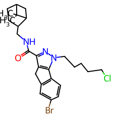 CC1(C)C2CCC(CNC(=O)c3nn(CCCCCCl)c4c3Cc3cc(Br)ccc3-4)C1C2